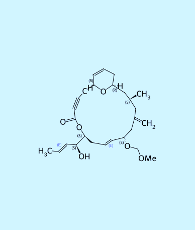 C=C1C[C@H](C)C[C@@H]2CC=C[C@@H](CC#CC(=O)O[C@H]([C@@H](O)/C=C/C)C/C=C/[C@@H](OCOC)C1)O2